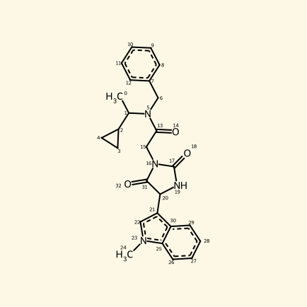 CC(C1CC1)N(Cc1ccccc1)C(=O)CN1C(=O)NC(c2cn(C)c3ccccc23)C1=O